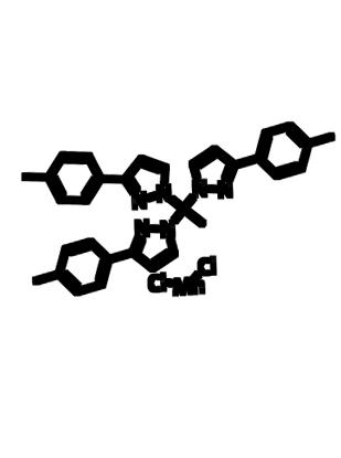 Cc1ccc(-c2ccn(C(C)(n3ccc(-c4ccc(C)cc4)n3)n3ccc(-c4ccc(C)cc4)n3)n2)cc1.[Cl][Mn][Cl]